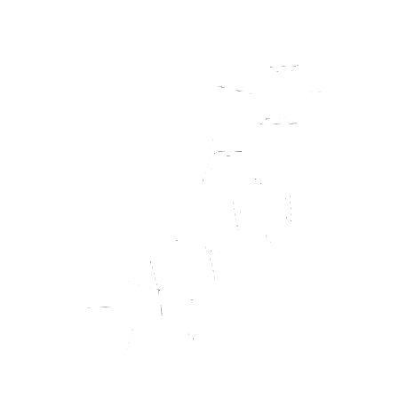 CC1=C(S)[C@@H](N)C2(CCN(c3nccn4c(-c5cccc(Cl)c5Cl)ncc34)CC2)C1